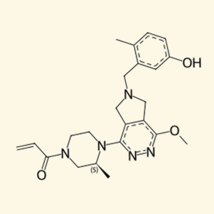 C=CC(=O)N1CCN(c2nnc(OC)c3c2CN(Cc2cc(O)ccc2C)C3)[C@@H](C)C1